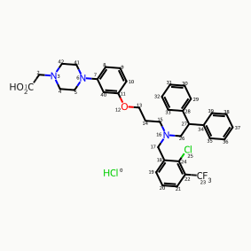 Cl.O=C(O)CN1CCN(c2cccc(OCCCN(Cc3cccc(C(F)(F)F)c3Cl)CC(c3ccccc3)c3ccccc3)c2)CC1